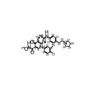 CONC(=O)c1cn(-c2ccc(C)c(C)c2)c2nc(Nc3ccc(CCN4CCCC4)cc3)ncc2c1=O